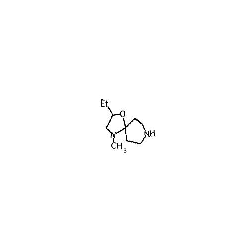 CCC1CN(C)C2(CCNCC2)O1